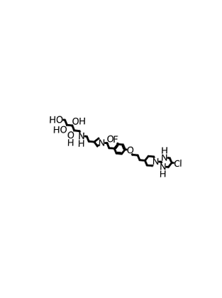 O=C(Cc1ccc(OCCCC2CCN(C3NCC(Cl)CN3)CC2)cc1F)N1CC(CCNC[C@H](O)[C@H](O)[C@H](O)CO)C1